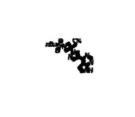 CCCCS(=O)(=O)N1CC(CC#N)(n2cc(-c3ncnc4[nH]ccc34)cn2)C1